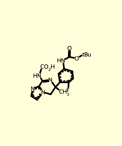 CC(C)(C)OC(=O)Nc1ccc(F)c(C2(C)Cn3ccnc3C(NC(=O)O)=N2)c1